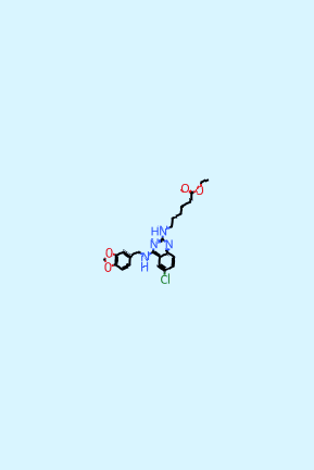 CCOC(=O)CCCCCNc1nc(NCc2ccc3c(c2)OCO3)c2cc(Cl)ccc2n1